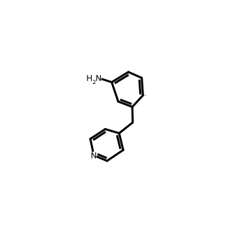 Nc1cc[c]c(Cc2ccncc2)c1